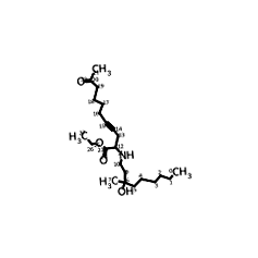 CCCCCCC(C)(O)CCNC(CC#CCCCCC(C)=O)C(=O)OCC